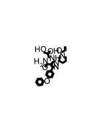 C=CC(=O)N1CCCC(n2nc(-c3ccc(Oc4ccccc4)cc3)c(C(N)=O)c2NCC(O)CO)C1